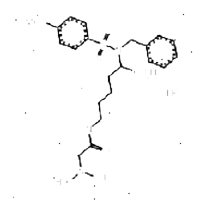 COc1ccc(S(=O)(=O)N(Cc2ccccc2)C(CCCCNC(=O)CN(C)C)C(=O)O)cc1.Cl